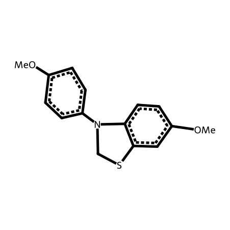 COc1ccc(N2CSc3cc(OC)ccc32)cc1